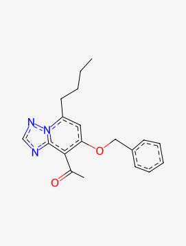 CCCCc1cc(OCc2ccccc2)c(C(C)=O)c2ncnn12